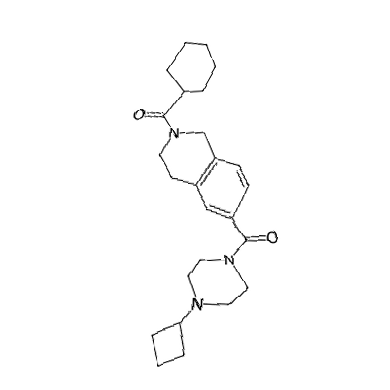 O=C(c1ccc2c(c1)CCN(C(=O)C1CCCCC1)C2)N1CCN(C2CCC2)CC1